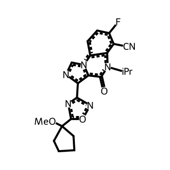 COC1(c2nc(-c3ncn4c3c(=O)n(C(C)C)c3c(C#N)c(F)ccc34)no2)CCCC1